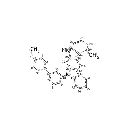 C=Cc1ccc(-c2cccc(-n3c4ccccc4c4cc5c6c([nH]c5cc43)C=CCC6C)c2)cc1